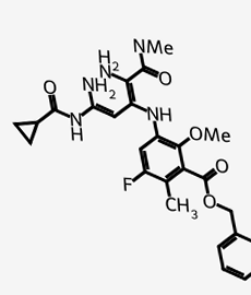 CNC(=O)/C(N)=C(/C=C(\N)NC(=O)C1CC1)Nc1cc(F)c(C)c(C(=O)OCc2ccccc2)c1OC